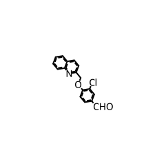 O=Cc1ccc(OCc2ccc3ccccc3n2)c(Cl)c1